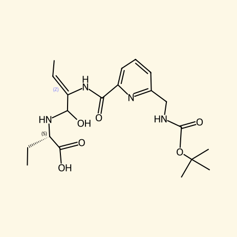 C/C=C(\NC(=O)c1cccc(CNC(=O)OC(C)(C)C)n1)C(O)N[C@@H](CC)C(=O)O